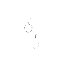 CCC(N)CC=Cc1cncc(O)c1